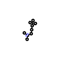 c1ccc(-c2cc(-c3cccc(-c4ccc(-c5ccc6c(c5)-c5ccccc5C6(c5ccccc5)c5ccccc5)cc4)c3)nc(-c3ccccc3)n2)cc1